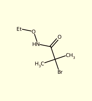 CCONC(=O)C(C)(C)Br